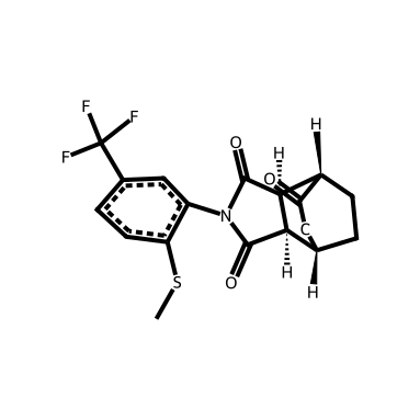 CSc1ccc(C(F)(F)F)cc1N1C(=O)[C@@H]2[C@H]3CC[C@H](C(=O)C3)[C@@H]2C1=O